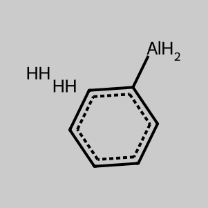 [AlH2][c]1ccccc1.[HH].[HH]